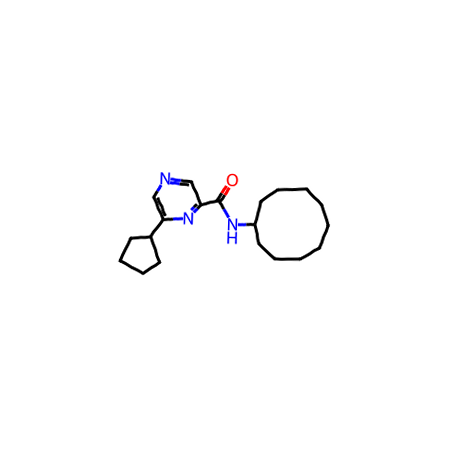 O=C(NC1CCCCCCCCC1)c1cncc(C2CCCC2)n1